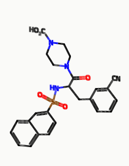 N#Cc1cccc(CC(NS(=O)(=O)c2ccc3ccccc3c2)C(=O)N2CCN(C(=O)O)CC2)c1